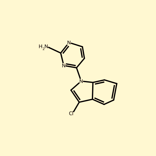 Nc1nccc(-n2cc(Cl)c3ccccc32)n1